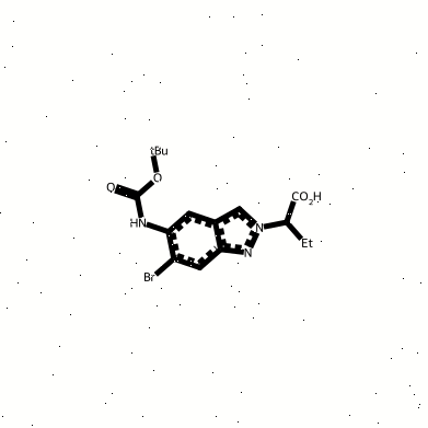 CCC(C(=O)O)n1cc2cc(NC(=O)OC(C)(C)C)c(Br)cc2n1